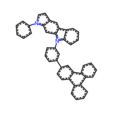 c1ccc(-n2ccc3cc4c5ccccc5n(-c5cccc(-c6ccc7c8ccccc8c8ccccc8c7c6)c5)c4cc32)cc1